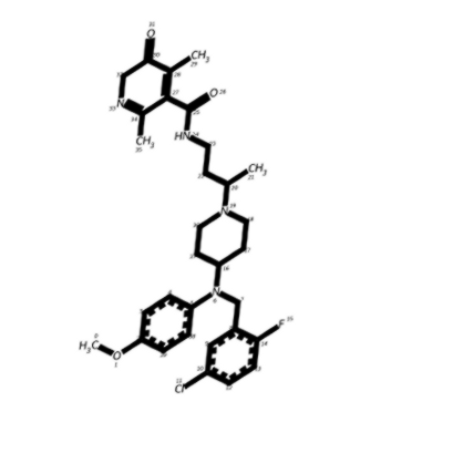 COc1ccc(N(Cc2cc(Cl)ccc2F)C2CCN(C(C)CCNC(=O)C3=C(C)C(=O)CN=C3C)CC2)cc1